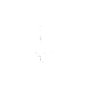 C[C@H]1NCC(C#CC2CC2)CC12CCCCCCCC2